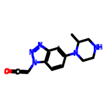 CC1CNCCN1c1[c]c2nnn(C=C=O)c2cc1